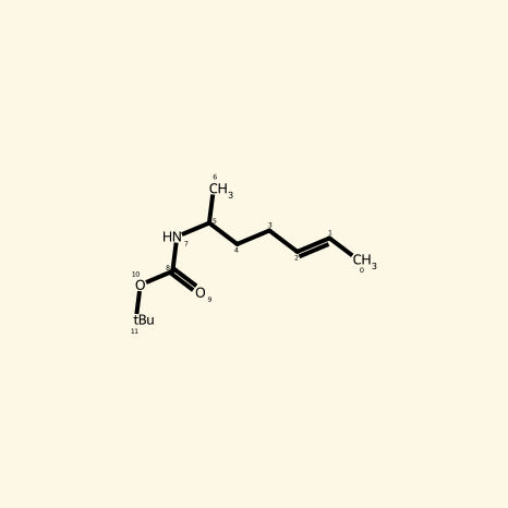 CC=CCCC(C)NC(=O)OC(C)(C)C